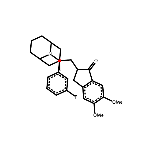 COc1cc2c(cc1OC)C(=O)C(CC1(F)CC3CCCC(C1)N3Cc1cccc(F)c1)C2